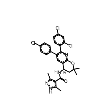 Cc1n[nH]c(C)c1C(=O)N[C@@H]1CC(C)(C)Oc2nc(-c3ccc(Cl)cc3Cl)c(-c3ccc(Cl)cc3)cc21